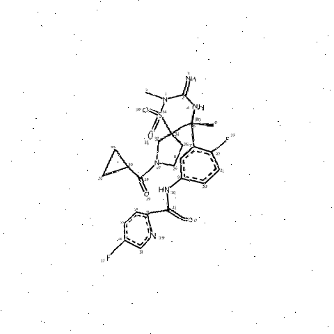 CN1C(=N)N[C@](C)(c2cc(NC(=O)c3ccc(F)cn3)ccc2F)C2(CCN(C(=O)C3CC3)C2)S1(=O)=O